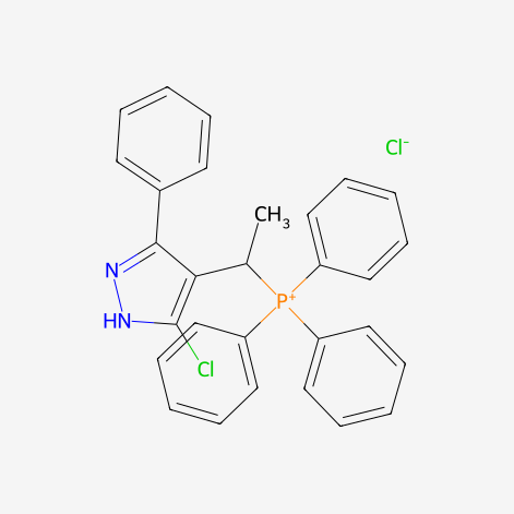 CC(c1c(-c2ccccc2)n[nH]c1Cl)[P+](c1ccccc1)(c1ccccc1)c1ccccc1.[Cl-]